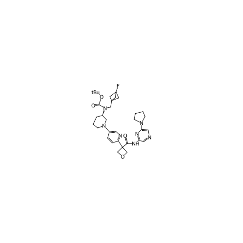 CC(C)(C)OC(=O)N(CC12CC(F)(C1)C2)[C@@H]1CCCN(c2ccc(C3(C(=O)Nc4cncc(N5CCCC5)n4)COC3)nc2)C1